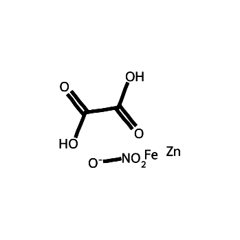 O=C(O)C(=O)O.O=[N+]([O-])[O-].[Fe].[Zn]